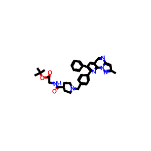 Cc1cc2ncc3cc(-c4ccccc4)c(-c4ccc(CN5CCC(C(=O)NCC(=O)OC(C)(C)C)CC5)cc4)nc3n2n1